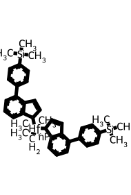 [CH2]=[Hf]([CH3])([CH3])([CH3])([CH2]CC)([CH]1C=Cc2c(-c3ccc([Si](C)(C)C)cc3)cccc21)[CH]1C=Cc2c(-c3ccc([Si](C)(C)C)cc3)cccc21